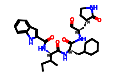 CCC(C)[C@H](NC(=O)c1cc2ccccc2[nH]1)C(=O)N[C@@H](CC1CCCCC1)C(=O)N[C@H](C=O)C[C@@H]1CCNC1=O